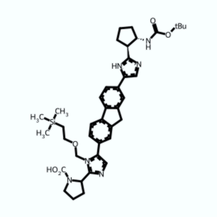 CC(C)(C)OC(=O)N[C@H]1CCC[C@@H]1c1ncc(-c2ccc3c(c2)Cc2cc(-c4cnc(C5CCCN5C(=O)O)n4COCC[Si](C)(C)C)ccc2-3)[nH]1